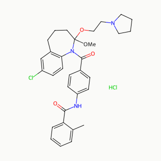 COC1(OCCN2CCCC2)CCCc2cc(Cl)ccc2N1C(=O)c1ccc(NC(=O)c2ccccc2C)cc1.Cl